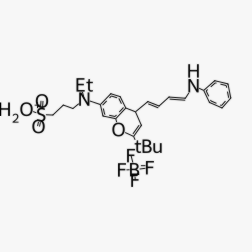 CCN(CCCS(=O)(=O)[OH2+])c1ccc2c(c1)OC(C(C)(C)C)=CC2/C=C/C=C/Nc1ccccc1.F[B-](F)(F)F